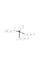 CCCCCCCCC(Cl)(CCCCCCCC)CCCCCCCC